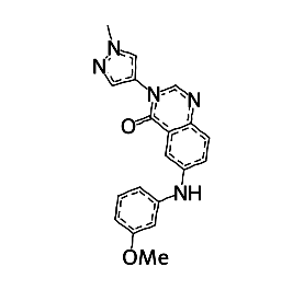 COc1cccc(Nc2ccc3ncn(-c4cnn(C)c4)c(=O)c3c2)c1